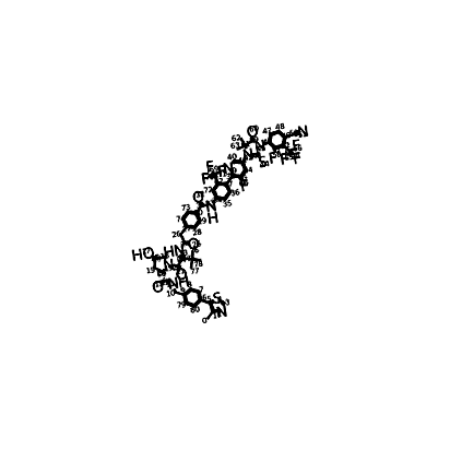 Cc1ncsc1-c1ccc(CNC(=O)[C@@H]2C[C@@H](O)CN2C(=O)[C@@H](NC(=O)Cc2ccc(C(=O)Nc3ccc(-c4ncc(N5C(=S)N(c6ccc(C#N)c(C(F)(F)F)c6F)C(=O)C5(C)C)cc4F)c(C(F)(F)F)c3)cc2)C(C)(C)C)cc1